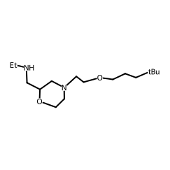 CCNCC1CN(CCOCCCC(C)(C)C)CCO1